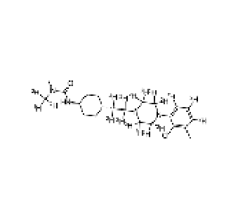 [2H]c1c([2H])c(C)c(Cl)c(N2C([2H])([2H])C([2H])([2H])N(C([2H])([2H])C([2H])([2H])[C@H]3CC[C@H](NC(=O)N(C)C([2H])([2H])[2H])CC3)C([2H])([2H])C2([2H])[2H])c1[2H]